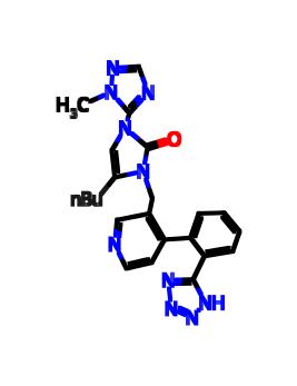 CCCCc1cn(-c2ncnn2C)c(=O)n1Cc1cnccc1-c1ccccc1-c1nnn[nH]1